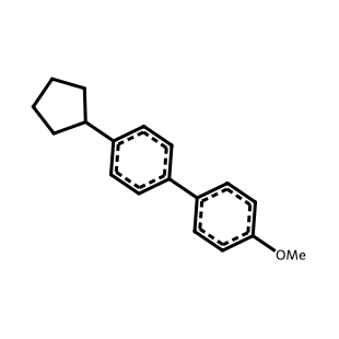 COc1ccc(-c2ccc(C3CCCC3)cc2)cc1